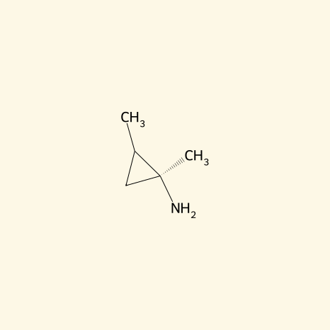 CC1C[C@]1(C)N